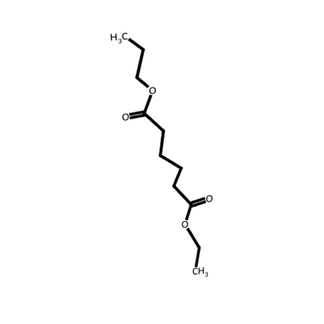 CCCOC(=O)CCCCC(=O)OCC